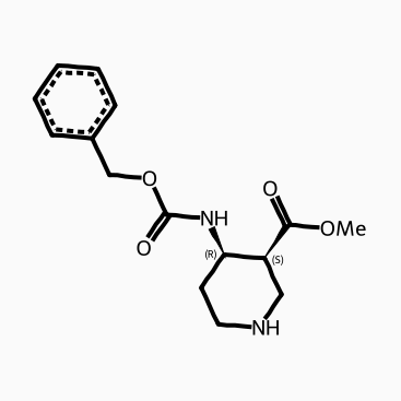 COC(=O)[C@H]1CNCC[C@H]1NC(=O)OCc1ccccc1